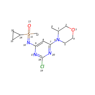 CC1COCCN1c1cc(N=S(C)(=O)C2CC2)nc(Cl)n1